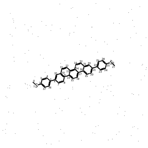 CSc1ccc(-c2ccc3c(ccc4c3ccc3c5ccc(-c6ccc(SC)cc6)cc5ccc34)c2)cc1